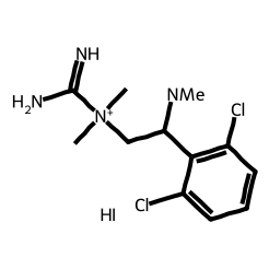 CNC(C[N+](C)(C)C(=N)N)c1c(Cl)cccc1Cl.I